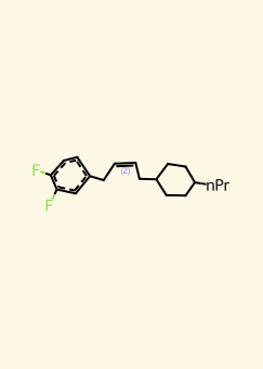 CCCC1CCC(C/C=C\Cc2ccc(F)c(F)c2)CC1